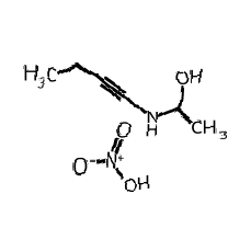 CCC#CNC(C)O.O=[N+]([O-])O